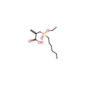 C=C(CP(=O)(CCCCCC)OCC)C(=O)O